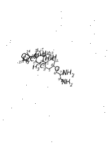 C[C@]12CC[C@H](OCC(N)CN)C[C@H]1CC[C@H]1[C@H]3CC[C@H](c4ccoc4)[C@@]3(C)CC[C@@H]12